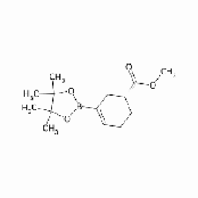 COC(=O)[C@@H]1CCC=C(B2OC(C)(C)C(C)(C)O2)C1